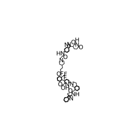 Cn1nc(C2CCC(=O)NC2=O)c2ccc(NC(=O)CN3CCC(CCCOc4cccc(-c5ccc(N6CCc7cccc(C(=O)Nc8nc9ccccc9s8)c7C6)nc5C(=O)O)c4C(F)(F)F)CC3)cc21